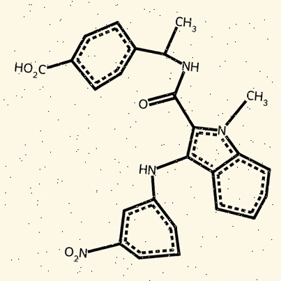 CC(NC(=O)c1c(Nc2cccc([N+](=O)[O-])c2)c2ccccc2n1C)c1ccc(C(=O)O)cc1